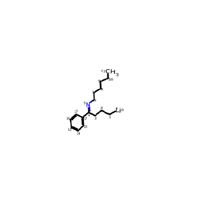 [Li][CH2]CCC(=NCCCCCC)c1ccccc1